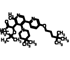 Cc1ncc(-c2ccc(OCCCC(C)(C)C)cn2)c(N2CCC(C)(C)CC2)c1C(OC(C)(C)C)C(=O)O